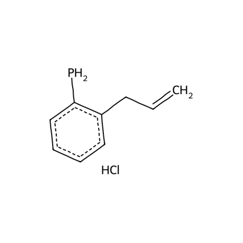 C=CCc1ccccc1P.Cl